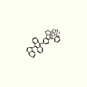 CC1CCC2c3cc(-c4c5ccccc5c(-c5cccc6ccccc56)c5ccccc45)ccc3N(c3ccccc3)C12C